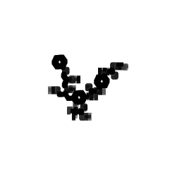 COC(=O)Nc1ccc(NC(=O)Nc2ccc(C[C@@H](CO)NC[C@H](O)COc3ccccc3)cc2)cc1.O=C(O)C(F)(F)F